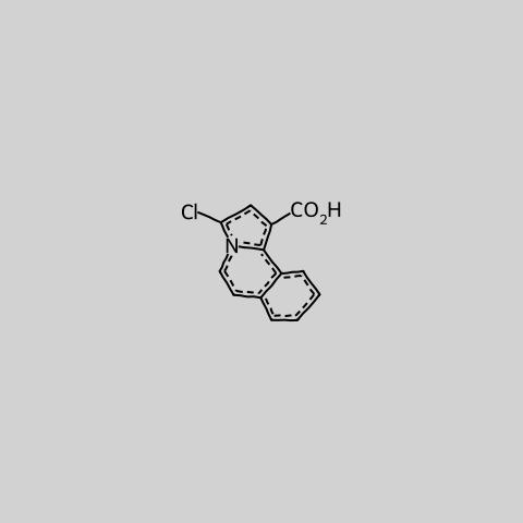 O=C(O)c1cc(Cl)n2ccc3ccccc3c12